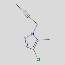 CC#CCn1n[c]c(Cl)c1C